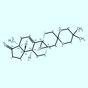 CC1(C)COC2(CC[C@@]34O[C@]3(CC[C@@H]3C4=CC[C@]4(C)C(=O)CC[C@@H]34)C2)OC1